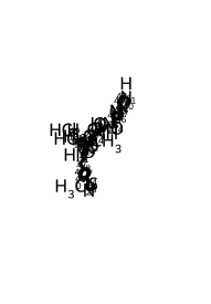 Cc1ncsc1-c1ccc(CCNC(=O)[C@@H]2C[C@@H](O)CN2C(=O)C(C)(C)[C@H](C)NC(=O)CNC(=O)c2ccc(N3CCNCC3)nc2)cc1.Cl